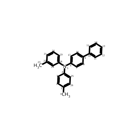 Cc1ccc(N(c2ccc(-c3ccccc3)cc2)c2cccc(C)c2)cc1